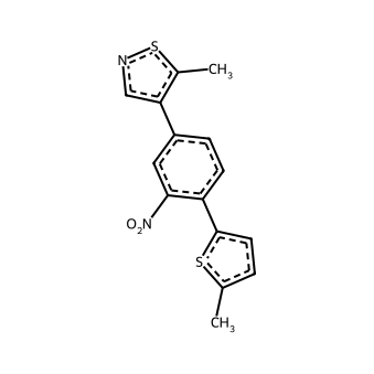 Cc1ccc(-c2ccc(-c3cnsc3C)cc2[N+](=O)[O-])s1